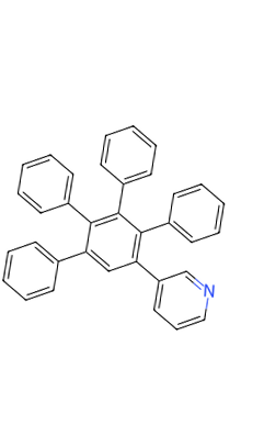 c1ccc(-c2cc(-c3cccnc3)c(-c3ccccc3)c(-c3ccccc3)c2-c2ccccc2)cc1